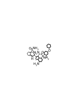 Cc1cc(Oc2ccccc2)ccc1C1(N)C(=O)C(N)c2c(C(=O)N[C@@H]3CCC[C@@H]3OC(N)=O)sc3c(N)ccc1c23